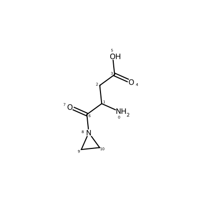 NC(CC(=O)O)C(=O)N1CC1